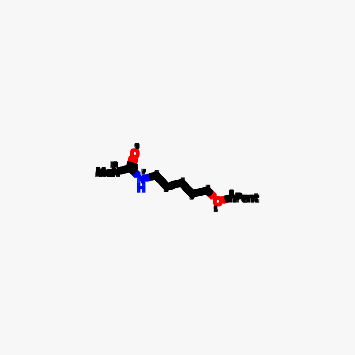 CCCCCOCCCCCNC(=O)NC